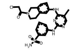 Cc1cnc(Nc2cccc(S(N)(=O)=O)c2)nc1Nc1ccc2c(c1)CCN(C(=O)CCl)C2